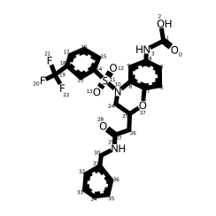 O=C(O)Nc1ccc2c(c1)N(S(=O)(=O)c1cccc(C(F)(F)F)c1)CC(CC(=O)NCc1ccccc1)O2